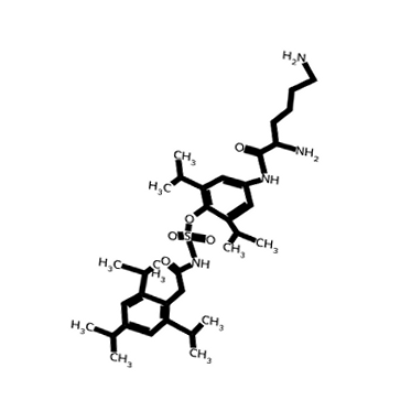 CC(C)c1cc(C(C)C)c(CC(=O)NS(=O)(=O)Oc2c(C(C)C)cc(NC(=O)C(N)CCCCN)cc2C(C)C)c(C(C)C)c1